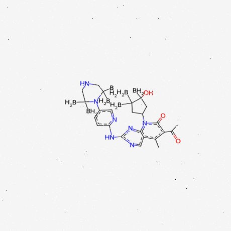 BC1(B)CNCC(B)(B)N1c1ccc(Nc2ncc3c(C)c(C(C)=O)c(=O)n(C4CC(B)(B)C(B)(O)C4)c3n2)nc1